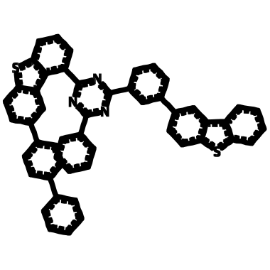 c1ccc(-c2ccc(-c3ccc4sc5cccc(-c6nc(-c7ccccc7)nc(-c7cccc(-c8ccc9sc%10ccccc%10c9c8)c7)n6)c5c4c3)cc2)cc1